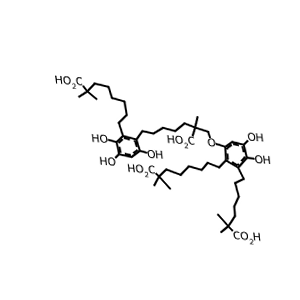 CC(C)(CCCCCCc1c(OCC(C)(CCCCCc2c(O)cc(O)c(O)c2CCCCCCC(C)(C)C(=O)O)C(=O)O)cc(O)c(O)c1CCCCCC(C)(C)C(=O)O)C(=O)O